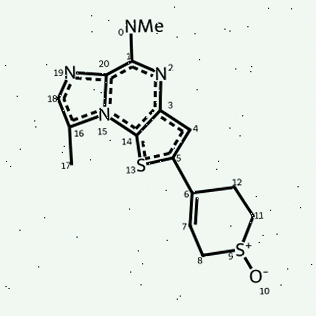 CNc1nc2cc(C3=CC[S+]([O-])CC3)sc2n2c(C)cnc12